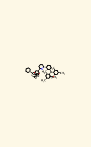 Cc1cc(C)c(B(c2cccc(-c3cccc(-c4ccc(C56CC7(c8ccccc8)CC8CC5(C6)C8C7)cc4)n3)c2)c2c(C)cc(C)cc2C)c(C)c1